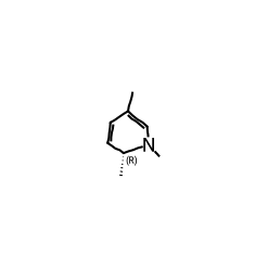 CC1=CN(C)[C@H](C)C=C1